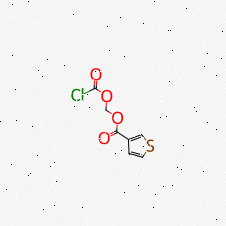 O=C(Cl)OCOC(=O)c1ccsc1